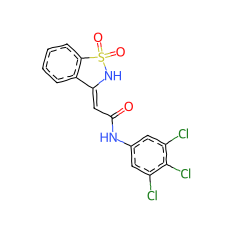 O=C(C=C1NS(=O)(=O)c2ccccc21)Nc1cc(Cl)c(Cl)c(Cl)c1